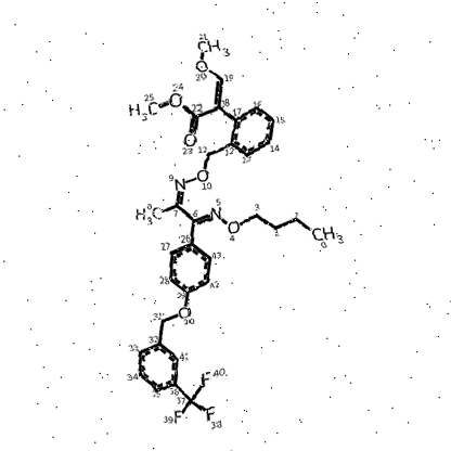 CCCCON=C(C(C)=NOCc1ccccc1C(=COC)C(=O)OC)c1ccc(OCc2cccc(C(F)(F)F)c2)cc1